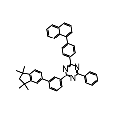 CC1(C)CC(C)(C)c2cc(-c3cccc(-c4nc(-c5ccccc5)nc(-c5ccc(-c6cccc7ccccc67)cc5)n4)c3)ccc21